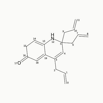 C=CCC1=CC(CC=C)(CC=C)NC2=CCC(=O)C=C12